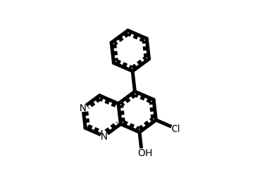 Oc1c(Cl)cc(-c2ccccc2)c2cncnc12